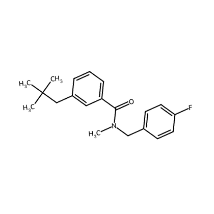 CN(Cc1ccc(F)cc1)C(=O)c1cccc(CC(C)(C)C)c1